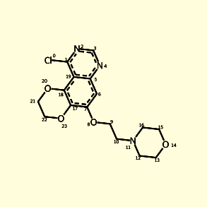 Clc1ncnc2cc(OCCN3CCOCC3)c3c(c12)OCCO3